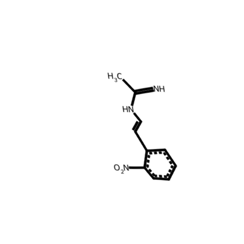 CC(=N)NC=Cc1ccccc1[N+](=O)[O-]